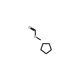 C1CCCC1.COC=O